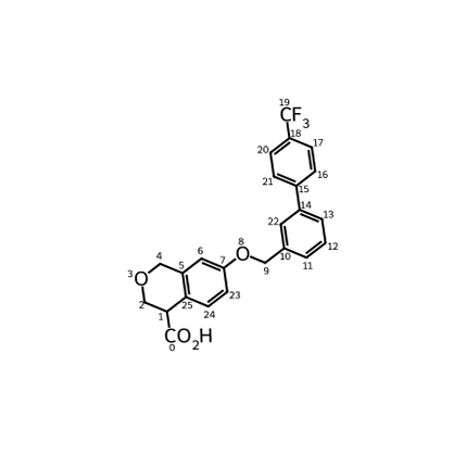 O=C(O)C1COCc2cc(OCc3cccc(-c4ccc(C(F)(F)F)cc4)c3)ccc21